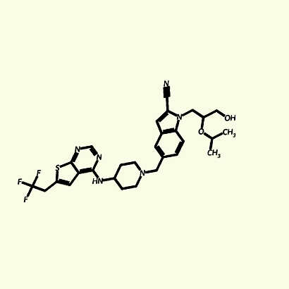 CC(C)OC(CO)Cn1c(C#N)cc2cc(CN3CCC(Nc4ncnc5sc(CC(F)(F)F)cc45)CC3)ccc21